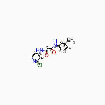 O=C(CC(=O)Nc1ccnc(Cl)c1)Nc1cccc(C(F)(F)F)c1